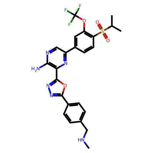 CNCc1ccc(-c2nnc(-c3nc(-c4ccc(S(=O)(=O)C(C)C)c(OC(F)(F)F)c4)cnc3N)o2)cc1